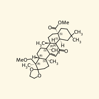 COC[C@@]1(C)[C@@H]2CC[C@]3(C)C(=CC(=O)[C@@H]4[C@@H]5CC(C)(C)CC[C@]5(C(=O)OC)CC[C@]43C)[C@@]2(C)CCC12OCCO2